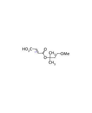 COCCC(C)(C)OC(=O)/C=C/C(=O)O